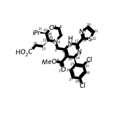 COC(=O)C1=C(CN2CCO[C@H](C(C)C)[C@H]2CCC(=O)O)NC(c2nccs2)=N[C@H]1c1ccc(Cl)cc1Cl